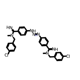 CN(Cc1ccc(Cl)cc1)C(=N)c1ccc(/N=N/Nc2ccc(C(=N)N(C)Cc3ccc(Cl)cc3)cc2)cc1